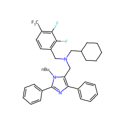 CCCCn1c(-c2ccccc2)nc(-c2ccccc2)c1CN(Cc1ccc(C(F)(F)F)c(F)c1F)CC1CCCCC1